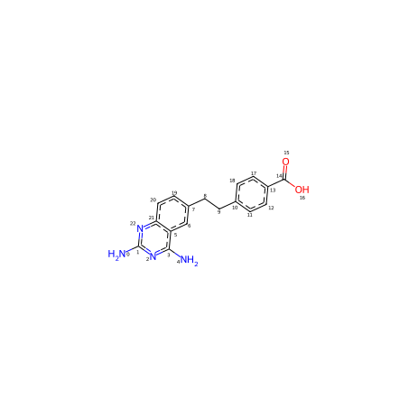 Nc1nc(N)c2cc(CCc3ccc(C(=O)O)cc3)ccc2n1